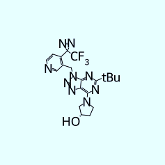 CC(C)(C)c1nc(N2CC[C@H](O)C2)c2nnn(Cc3cnccc3C3(C(F)(F)F)N=N3)c2n1